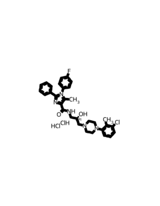 Cc1c(Cl)cccc1N1CCN(C[C@H](O)CNC(=O)c2nc(-c3ccccc3)n(-c3ccc(F)cc3)c2C)CC1.Cl.Cl